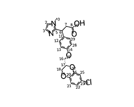 Cn1ccnc1C(CC(=O)O)c1ccc(OC[C@H]2COc3ccc(Cl)cc3O2)cc1